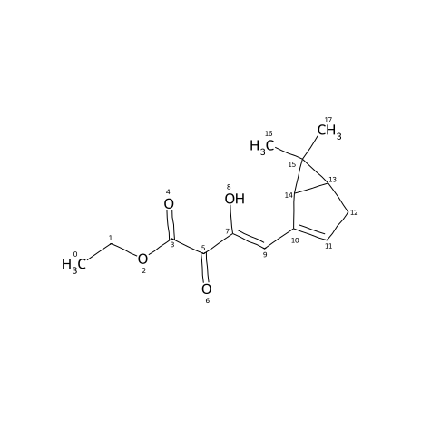 CCOC(=O)C(=O)C(O)=CC1=CCC2C1C2(C)C